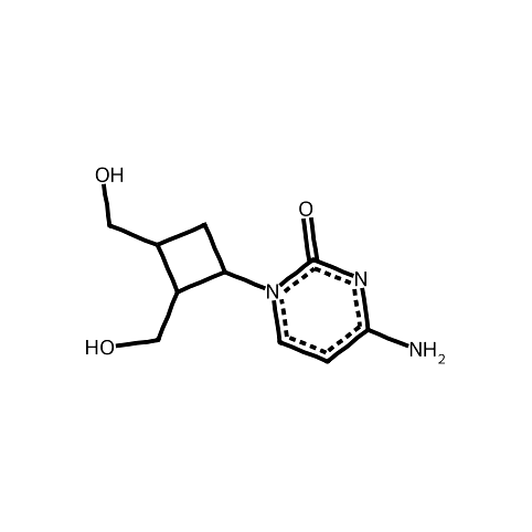 Nc1ccn(C2CC(CO)C2CO)c(=O)n1